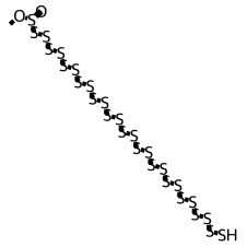 COS(=O)SSSSSSSSSSSSSSSSSSSSSSSSSS